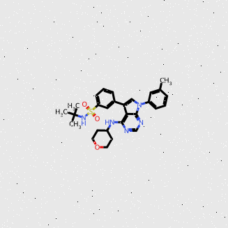 Cc1cccc(-n2cc(-c3cccc(S(=O)(=O)NC(C)(C)C)c3)c3c(NC4CCOCC4)ncnc32)c1